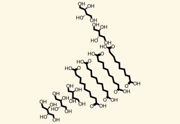 O=C(O)CCCCCCCCC(=O)O.O=C(O)CCCCCCCCC(=O)O.O=C(O)CCCCCCCCC(=O)O.O=C(O)CCCCCCCCC(=O)O.OC[C@@H](O)[C@@H](O)CO.OC[C@@H](O)[C@@H](O)CO.OC[C@@H](O)[C@@H](O)CO.OC[C@@H](O)[C@@H](O)CO.OC[C@@H](O)[C@@H](O)CO